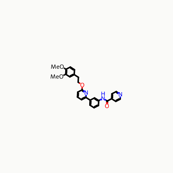 COc1ccc(CCOc2cccc(-c3cccc(NC(=O)c4ccncc4)c3)n2)cc1OC